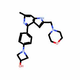 Cc1cc2[nH]c(CN3CCOCC3)cc2c(-c2ccc(N3CC(O)C3)cc2)n1